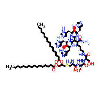 CCCCCCCCCCCCCCCC(=O)OCC(CSCC(N)C(=O)N[C@@H](CO)C(=O)NC(CO)C(=O)NCCCCC(C(N)=O)C(C(N[C@H](C=O)Cc1cnc[nH]1)N[C@H](C=O)Cc1cnc[nH]1)C(N[C@H](C=O)Cc1cnc[nH]1)N[C@H](C=O)Cc1cnc[nH]1)OC(=O)CCCCCCCCCCCCCCC